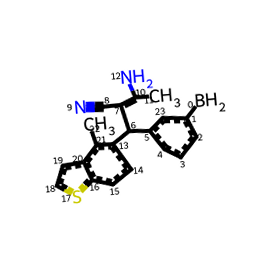 Bc1cccc(C(/C(C#N)=C(\C)N)c2ccc3sccc3c2C)c1